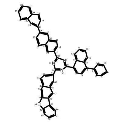 c1ccc(-c2ccc(-c3nc(-c4ccc5cc(-c6ccc7ccccc7c6)ccc5c4)nc(-c4ccc5cc6oc7ccccc7c6cc5c4)n3)c3ccccc23)cc1